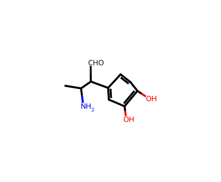 CC(N)C(C=O)c1ccc(O)c(O)c1